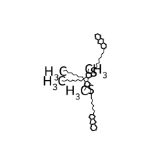 CCCCCCCCC1(CCCCCCCC)c2cc(C)c(SCCCCCCCCc3ccc4cc5ccccc5cc4c3)cc2-c2cc(SCCCCCCCCc3ccc4cc5ccccc5cc4c3)c(C)cc21